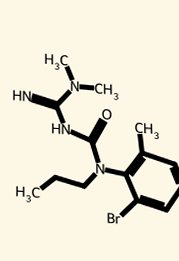 CCCN(C(=O)NC(=N)N(C)C)c1c(C)cccc1Br